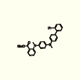 COC(=O)c1ccccc1N(C)c1ccc(N(C)c2ccc(-c3ccccc3C(C)C)cc2)cc1